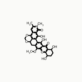 COc1c2c(c(O)c3c(=O)c4c(oc13)C(O)CCC4O)-c1c3c(c4cc(C)n(C)c(=O)c4c1O)OCOC3C2